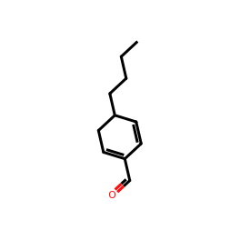 CCCCC1C=CC(C=O)=CC1